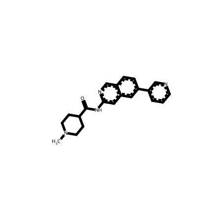 CN1CCC(C(=O)Nc2cc3cc(-c4cccnc4)ccc3cn2)CC1